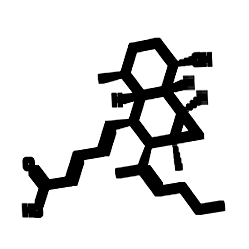 CCC/C=C(/C)[C@H]1[C@@H](/C=C/C=C/C(=O)O)[C@H]2[C@@H]([C@H]3C[C@]31C)[C@@H](O)CC[C@@H]2C